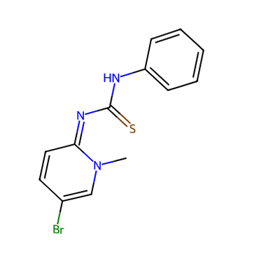 Cn1cc(Br)ccc1=NC(=S)Nc1ccccc1